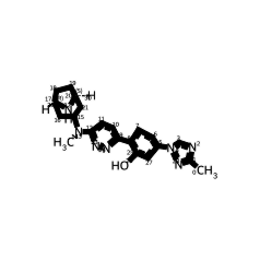 Cc1ncn(-c2ccc(-c3ccc(N(C)C4C[C@H]5CC[C@@H](C4)N5)nn3)c(O)c2)n1